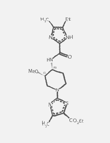 CCOC(=O)c1sc(N2CC[C@@H](NC(=O)c3nc(C)c(CC)[nH]3)[C@@H](OC)C2)nc1C